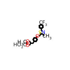 Cc1nc(-c2ccc(C(F)(F)F)cc2)sc1COc1ccc(CC2COC(C)(C(=O)O)OC2)cc1